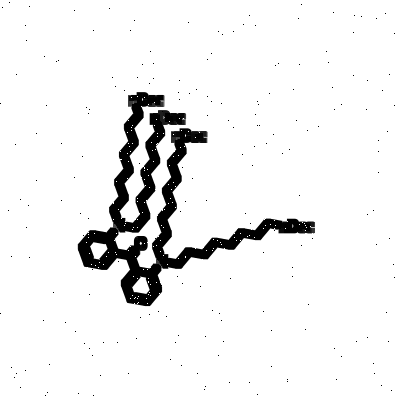 CCCCCCCCCCCCCCCCCCN(CCCCCCCCCCCCCCCCCC)c1ccccc1C(=O)c1ccccc1N(CCCCCCCCCCCCCCCCCC)CCCCCCCCCCCCCCCCCC